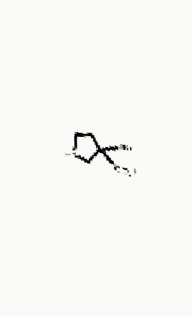 CC(C)(C)C1(C(=O)O)CCNC1